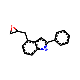 c1ccc(-c2cc3c(CC4CO4)cccc3[nH]2)cc1